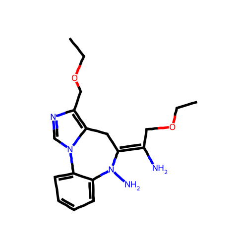 CCOC/C(N)=C1\Cc2c(COCC)ncn2-c2ccccc2N1N